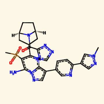 Cn1cc(-c2ccc(-c3cnn4c(N)c(S(C)(=O)=O)c(C5C[C@H]6CC[C@@H](C5)N6C(=O)c5nnc[nH]5)nc34)cn2)cn1